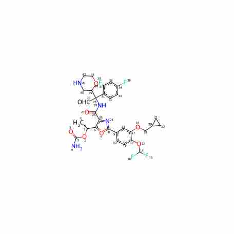 C[C@H](OC(N)=O)c1oc(-c2ccc(OC(F)F)c(OCC3CC3)c2)nc1C(=O)NC(C=O)(c1ccc(F)cc1F)C1CNCCO1